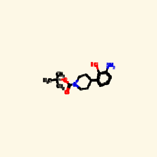 CC(C)(C)OC(=O)N1CCC(c2cccc(N)c2O)CC1